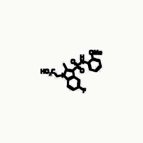 COc1ccccc1NS(=O)(=O)c1c(C)n(CC(=O)O)c2ccc(F)cc12